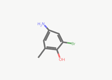 Cc1cc(N)cc(Br)c1O